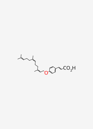 CC(C)=CCCC(C)=CCCC(C)=CCOc1ccc(C=CC(=O)O)cc1